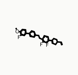 C=CC1CC=C(c2ccc(CCc3ccc(-c4ccc(OC)c(F)c4)cc3)c(F)c2F)CC1